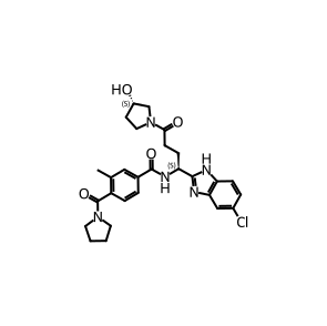 Cc1cc(C(=O)N[C@@H](CCC(=O)N2CC[C@H](O)C2)c2nc3cc(Cl)ccc3[nH]2)ccc1C(=O)N1CCCC1